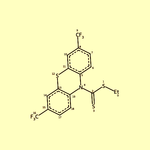 CCSC(=S)N1c2ccc(C(F)(F)F)cc2Sc2cc(C(F)(F)F)ccc21